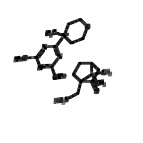 CC1(C)C2CCC1(CS(=O)(=O)O)C(=O)C2.COc1nc(OC)nc([N+]2(C)CCOCC2)n1